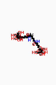 CC(=O)C(CCCCNC(=O)CCCCO[C@@H]1OC(CO)C(O)C(O)C1O)NC(=O)CCCCO[C@@H]1OC(CO)C(O)C(O)C1O